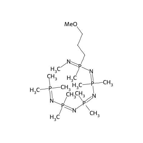 CN=P(C)(CCCOC)N=P(C)(C)N=P(C)(C)N=P(C)(C)N=P(C)(C)C